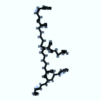 CCC/C=C/CCC(CC/C=C/CCC)OC(=O)CCCCCN(CCCCCC(=O)OC/C=C\CCCCCC)C(=O)SCCN